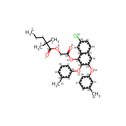 CCCC(C)(C)C(=O)OCC(=O)Oc1c(Oc2cccc(C)c2)c(Oc2cccc(C)c2)cc2ccc(Cl)cc12